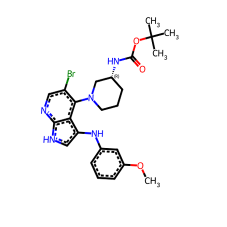 COc1cccc(Nc2c[nH]c3ncc(Br)c(N4CCC[C@@H](NC(=O)OC(C)(C)C)C4)c23)c1